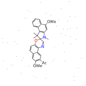 COc1cc2ccc3c(c2cc1C(C)=O)N=CC1(O3)N(C)c2cc(OC)c3ccccc3c2C1(C)C